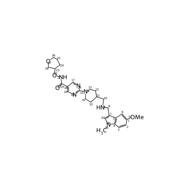 COc1ccc2c(c1)c(CNCC1CCN(c3ncc(C(=O)NOC4CCCOC4)cn3)CC1)cn2C